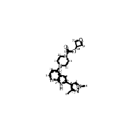 Cc1nn(C)cc1-c1cc2c(N3CCN(C(=O)OC4COC4)CC3)ccnc2[nH]1